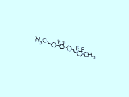 CCCC1CCC(c2ccc(C3CCC(/C=C/C4CCC(C)C(F)=C4F)CC3)c(F)c2F)CC1